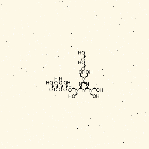 O=CO.O=CO.O=CO.O=CO.O=CO.O=CO.OCN(CO)c1nc(N(CO)CO)nc(N(CO)CO)n1